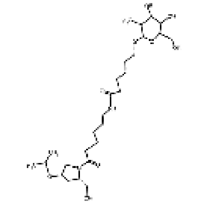 CC(C)O[C@@H]1C[C@@H](CO)N(C(=O)CCCCCNC(=O)CCCCCOC2OC(CO)C(O)C(O)C2C)C1